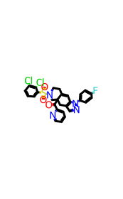 O=C(c1ccccn1)C12Cc3cnn(-c4ccc(F)cc4)c3C=C1CCN(S(=O)(=O)c1cccc(Cl)c1Cl)C2